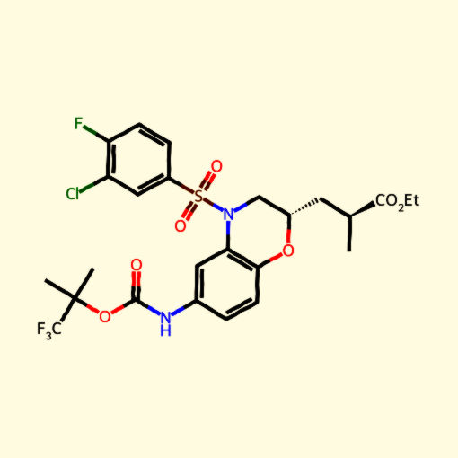 CCOC(=O)[C@@H](C)C[C@H]1CN(S(=O)(=O)c2ccc(F)c(Cl)c2)c2cc(NC(=O)OC(C)(C)C(F)(F)F)ccc2O1